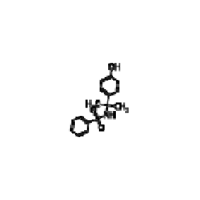 CC(C)(NS(=O)(=O)c1ccccc1)c1ccc(O)cc1